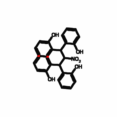 O=[N+]([O-])C(C(c1ccccc1O)c1ccccc1O)C(c1ccccc1O)c1ccccc1O